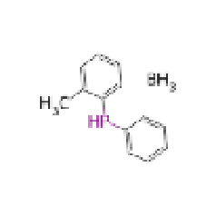 B.Cc1ccccc1Pc1ccccc1